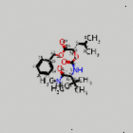 CC(C)C[C@H](OC(=O)N[C@H](C(=O)N(C)C)C(C)(C)C)C(=O)OCc1ccccc1